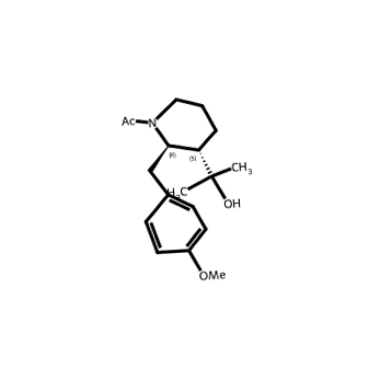 COc1ccc(C[C@@H]2[C@@H](C(C)(C)O)CCCN2C(C)=O)cc1